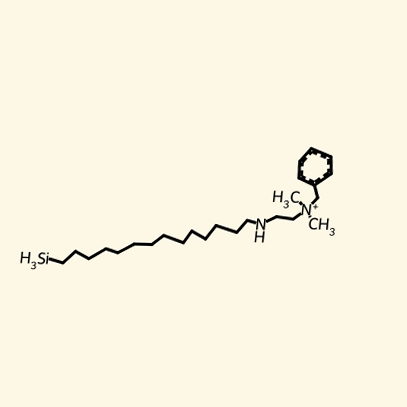 C[N+](C)(CCNCCCCCCCCCCCCCC[SiH3])Cc1ccccc1